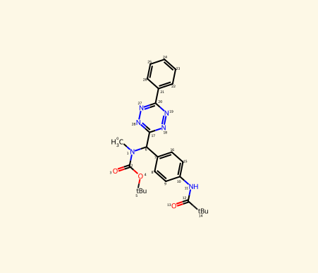 CN(C(=O)OC(C)(C)C)C(c1ccc(NC(=O)C(C)(C)C)cc1)c1nnc(-c2ccccc2)nn1